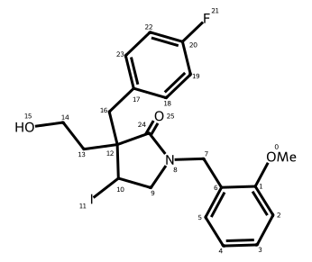 COc1ccccc1CN1CC(I)C(CCO)(Cc2ccc(F)cc2)C1=O